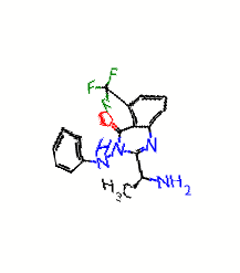 C[C@H](N)c1nc2cccc(C(F)(F)F)c2c(=O)n1Nc1ccccc1